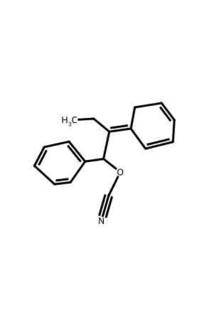 CCC(=C1C=CC=CC1)C(OC#N)c1ccccc1